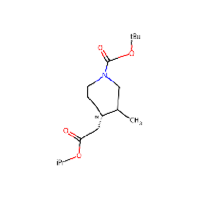 CC(C)OC(=O)C[C@@H]1CCN(C(=O)OC(C)(C)C)CC1C